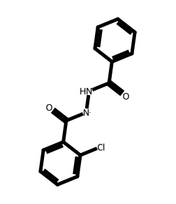 O=C(N[N]C(=O)c1ccccc1Cl)c1ccccc1